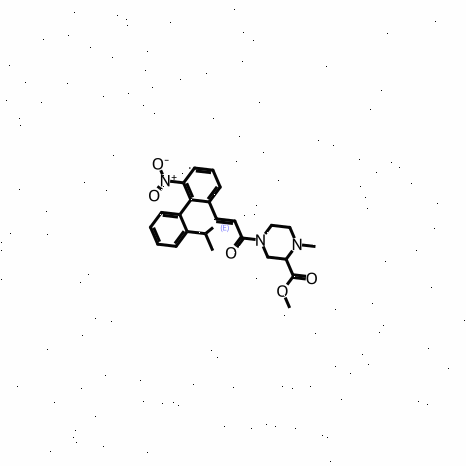 COC(=O)C1CN(C(=O)/C=C/c2cc[c]c([N+](=O)[O-])c2-c2ccccc2C(C)C)CCN1C